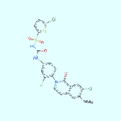 CNc1cc2ccn(-c3ccc(NC(=O)NS(=O)(=O)c4ccc(Cl)s4)cc3F)c(=O)c2cc1Cl